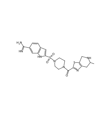 CC1Cc2nc(C(=O)N3CCN(S(=O)(=O)c4cc5ccc(C(=N)N)cc5[nH]4)CC3)sc2CN1